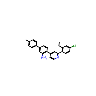 CCc1cc(Cl)ccc1-c1cc(-c2ccc(-c3ccc(C)cc3)cc2N)ccn1